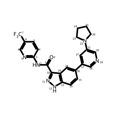 O=C(Nc1ccc(C(F)(F)F)cn1)c1n[nH]c2ccc(-c3cncc(N4CCCC4)c3)cc12